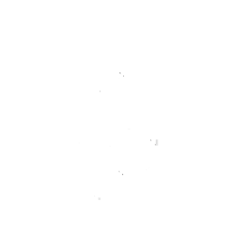 CCCN1C(=O)NC2(CC(C)(C)N(C)C(C)(C)C2)C1=O